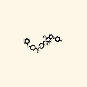 O=C(C1CCC(Oc2cccnn2)CC1)N1CCC(O)(Cn2cnc3c(cnn3-c3ccc(F)cc3)c2=O)CC1